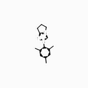 Cc1cc(C)c(-n2c[n+]3c(n2)CCC3)c(C)c1